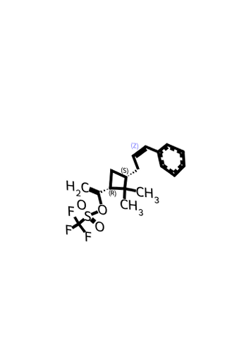 C=C(OS(=O)(=O)C(F)(F)F)[C@@H]1C[C@H](C/C=C\c2ccccc2)C1(C)C